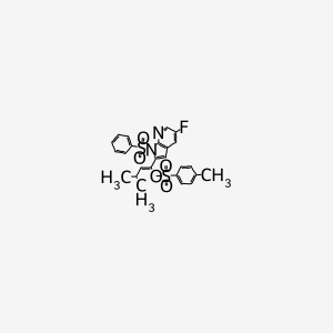 Cc1ccc(S(=O)(=O)OC(=CC(C)C)c2cc3cc(F)cnc3n2S(=O)(=O)c2ccccc2)cc1